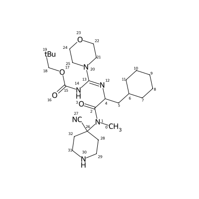 CN(C(=O)C(CC1CCCCC1)N=C(NC(=O)OCC(C)(C)C)N1CCOCC1)C1(C#N)CCNCC1